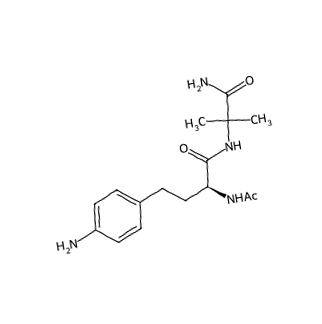 CC(=O)N[C@@H](CCc1ccc(N)cc1)C(=O)NC(C)(C)C(N)=O